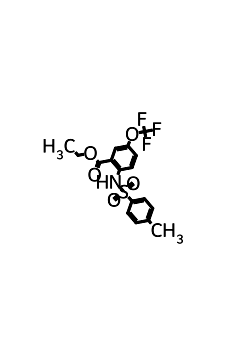 CCOC(=O)c1cc(OC(F)(F)F)ccc1NS(=O)(=O)c1ccc(C)cc1